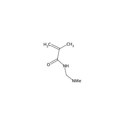 C=C(C)C(=O)NCNC